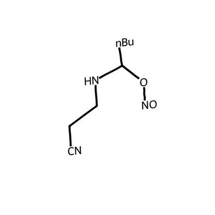 CCCCC(NCCC#N)ON=O